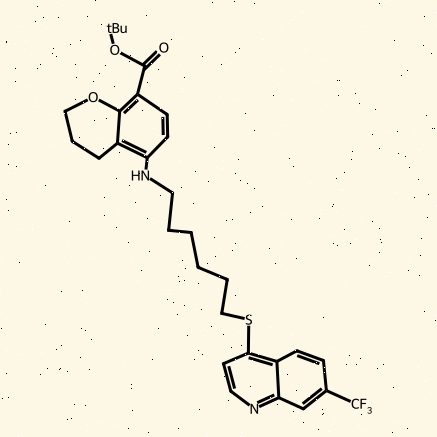 CC(C)(C)OC(=O)c1ccc(NCCCCCCSc2ccnc3cc(C(F)(F)F)ccc23)c2c1OCCC2